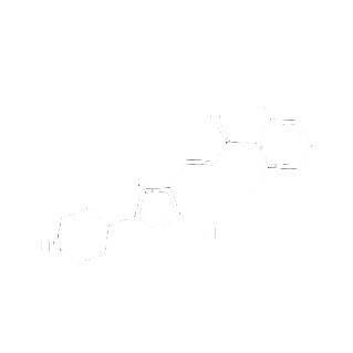 Cl.O=C(C=Cc1csc(C2CCNCC2)n1)c1c(F)cccc1F